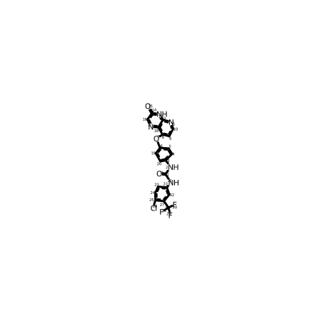 O=C(Nc1ccc(Oc2ccnc3[nH]c(=O)cnc23)cc1)Nc1ccc(Cl)c(C(F)(F)F)c1